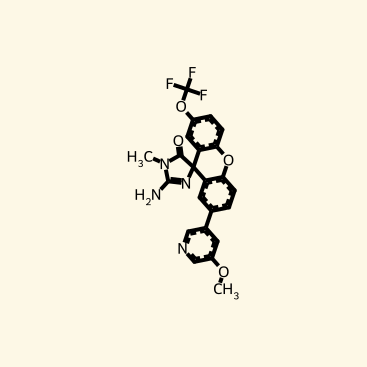 COc1cncc(-c2ccc3c(c2)C2(N=C(N)N(C)C2=O)c2cc(OC(F)(F)F)ccc2O3)c1